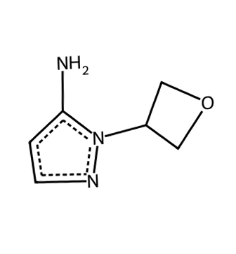 Nc1ccnn1C1COC1